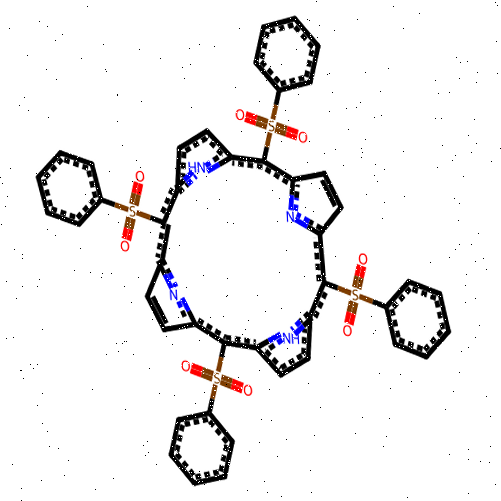 O=S(=O)(c1ccccc1)c1c2nc(c(S(=O)(=O)c3ccccc3)c3ccc([nH]3)c(S(=O)(=O)c3ccccc3)c3nc(c(S(=O)(=O)c4ccccc4)c4ccc1[nH]4)C=C3)C=C2